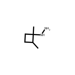 CC1CCC1(C)NN